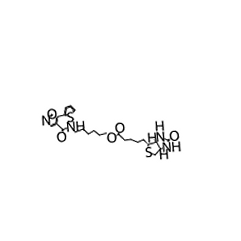 O=C1N[C@H]2[C@H](CS[C@H]2CCCCC(=O)OCCCCCCNC(=O)c2cnoc2-c2cccs2)N1